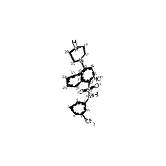 Cl.O=S(=O)(Nc1cccc(C(F)(F)F)c1)c1ccc(N2CCNCC2)c2ccccc12